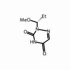 CC[C@@H](OC)n1ncc(=O)[nH]c1=O